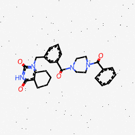 O=C(c1ccccc1)N1CCN(C(=O)c2cccc(Cn3c4c(c(=O)[nH]c3=O)CCCC4)c2)CC1